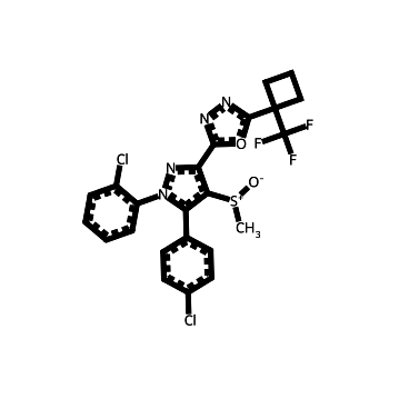 C[S+]([O-])c1c(-c2nnc(C3(C(F)(F)F)CCC3)o2)nn(-c2ccccc2Cl)c1-c1ccc(Cl)cc1